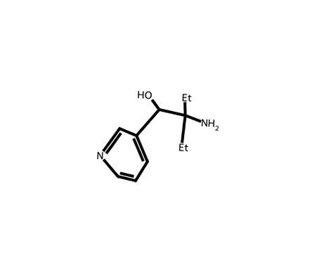 CCC(N)(CC)C(O)c1cccnc1